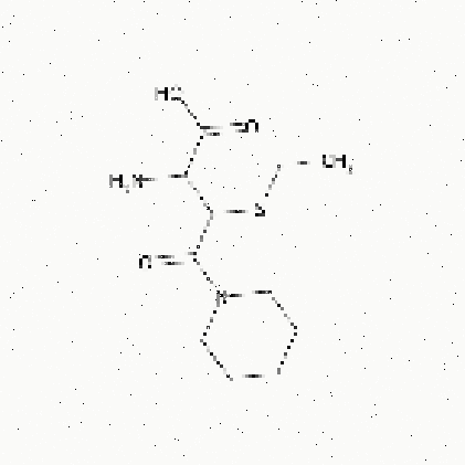 CCSC(C(=O)N1CCCCC1)C(N)C(=O)O